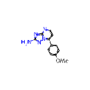 COc1ccc(-c2ccnc3nc(N)nn23)cc1